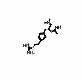 CC(=N)S[C@@H](Cc1ccc(CCSC(=N)N)cc1)CN(C)C